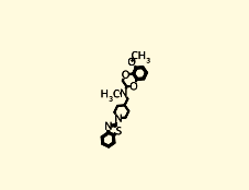 COc1cccc2c1OCC(N(C)CC1CCN(c3nc4ccccc4s3)CC1)O2